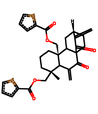 C=C1C(=O)C23CC[C@@H](CC2[C@]2(COC(=O)c4cccs4)CCC[C@@](C)(COC(=O)c4cccs4)C12)C(=C)C3=O